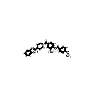 COc1cc(C(=O)N2CCC(c3nc4ccccc4[nH]3)CC2)ccc1OCc1ccc(OC(F)(F)F)cc1